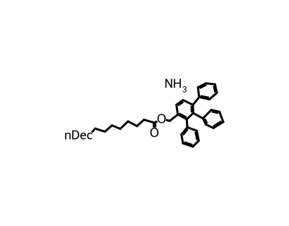 CCCCCCCCCCCCCCCCCC(=O)OCc1ccc(-c2ccccc2)c(-c2ccccc2)c1-c1ccccc1.N